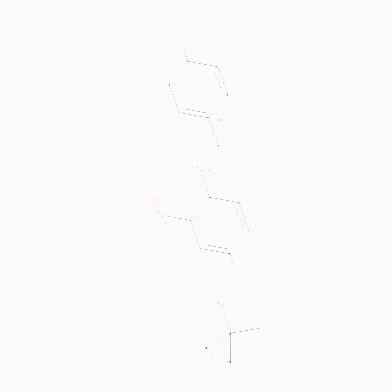 CC1(NSc2ccc(NCc3ccc(F)cc3)c([N+](=O)[O-])c2)CC1